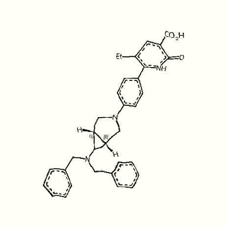 CCc1cc(C(=O)O)c(=O)[nH]c1-c1ccc(N2C[C@@H]3C(N(Cc4ccccc4)Cc4ccccc4)[C@@H]3C2)cc1